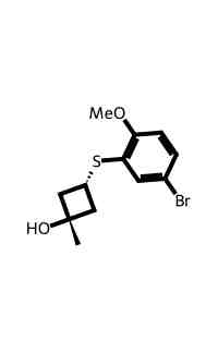 COc1ccc(Br)cc1S[C@H]1C[C@@](C)(O)C1